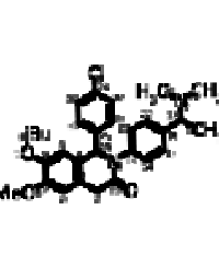 CC[C@@H](C)Oc1cc2c(cc1OC)CC(=O)N(c1ccc(C(C)N(C)C)cc1)C2c1ccc(Cl)cc1